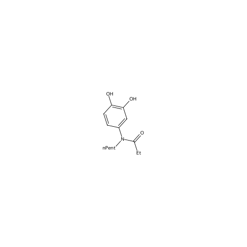 CCCCCN(C(=O)CC)c1ccc(O)c(O)c1